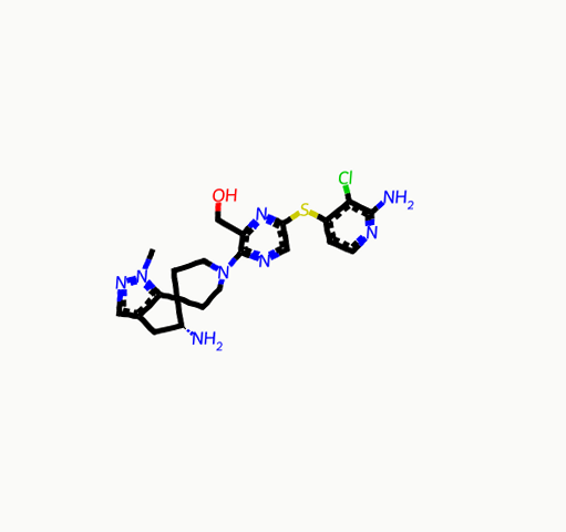 Cn1ncc2c1C1(CCN(c3ncc(Sc4ccnc(N)c4Cl)nc3CO)CC1)[C@H](N)C2